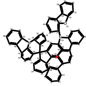 c1ccc(-c2ccc(-c3ccccc3N(c3ccc4c(c3)C3(c5ccccc5-4)c4ccccc4-n4c5ccccc5c5cccc3c54)c3cccc4c3oc3ccccc34)cc2)cc1